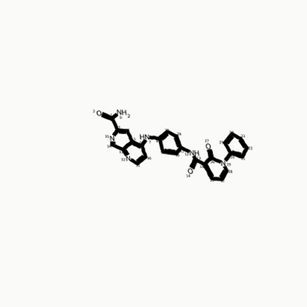 NC(=O)c1cc2c(Nc3ccc(NC(=O)c4cccn(-c5ccccc5)c4=O)cc3)ccnc2cn1